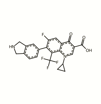 O=C(O)c1cn(C2CC2)c2c(C(F)(F)F)c(-c3ccc4c(c3)CNC4)c(F)cc2c1=O